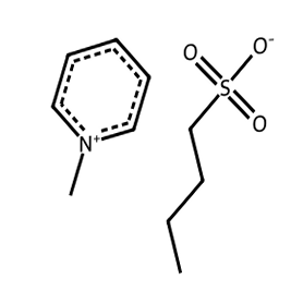 CCCCS(=O)(=O)[O-].C[n+]1ccccc1